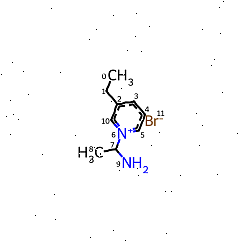 CCc1ccc[n+](C(C)N)c1.[Br-]